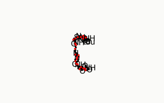 CC1(NC(=O)OC(C)(C)C)CCN(c2cnc(Sc3cccc(NC(=O)CCCCCCN4CC5(CCN(C6CCC(C(=O)NCc7ccc8c(c7)CN(C7CCC(=O)NC7=O)C8=O)CC6)C5)C4)c3)cn2)CC1